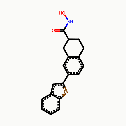 O=C(NO)C1CCc2ccc(-c3cc4ccccc4s3)cc2C1